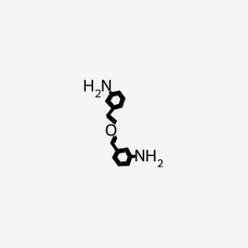 Nc1cccc(C=COC=Cc2cccc(N)c2)c1